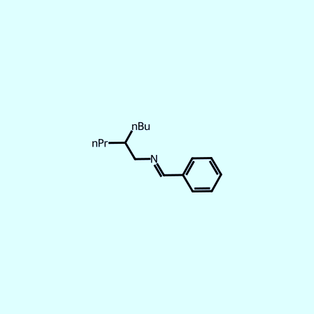 C[CH]CC(CCCC)CN=Cc1ccccc1